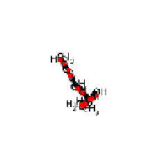 CNC(=O)COCCOCCOCCOCCNC(=O)CCc1cn(CCC(=O)N[C@H](Cc2ccc(O)cc2)C(=O)N[C@@H](CC(N)=O)C(=O)NC)nn1